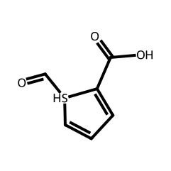 O=C[SH]1C=CC=C1C(=O)O